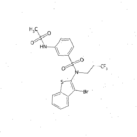 CS(=O)(=O)Nc1cccc(S(=O)(=O)N(CCC(F)(F)F)c2sc3ccccc3c2Br)c1